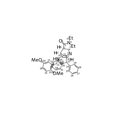 CCN(CC)C(=O)[C@H]1CN2CC[C@@H]1[C@H](NCc1cc(OC)ccc1OC)[C@@H]2C(c1ccccc1)c1ccccc1